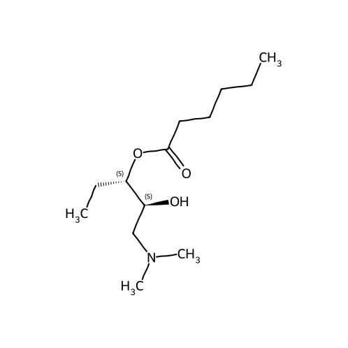 CCCCCC(=O)O[C@@H](CC)[C@@H](O)CN(C)C